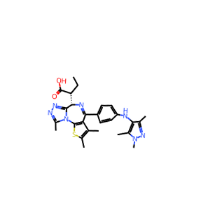 CCC(C(=O)O)[C@@H]1N=C(c2ccc(Nc3c(C)nn(C)c3C)cc2)c2c(sc(C)c2C)-n2c(C)nnc21